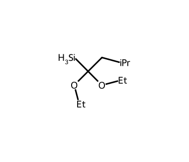 CCOC([SiH3])(CC(C)C)OCC